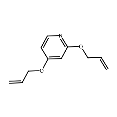 C=CCOc1ccnc(OCC=C)c1